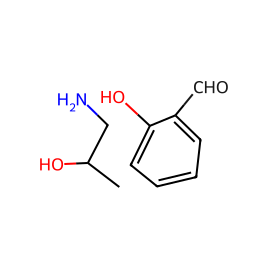 CC(O)CN.O=Cc1ccccc1O